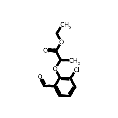 CCOC(=O)C(C)Oc1c(Cl)cccc1C=O